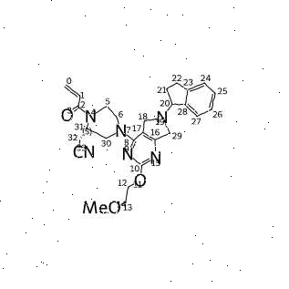 C=CC(=O)N1CCN(c2nc(OCCOC)nc3c2CN(C2CCc4ccccc42)C3)C[C@@H]1CC#N